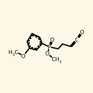 COc1cccc(P(=O)(CCC=C=O)OC)c1